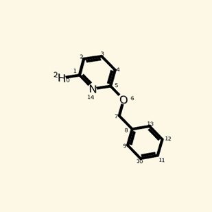 [2H]c1cccc(OCc2ccccc2)n1